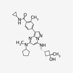 Cc1cc(-c2cnn3c(NC[C@H]4C[C@@](C)(O)C4)cc(N(C)C4CCCC4)nc23)ccc1C(=O)NC1CC1